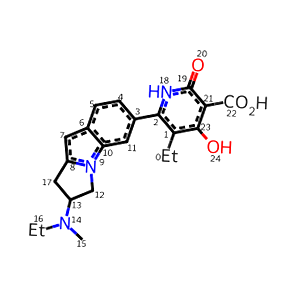 CCc1c(-c2ccc3cc4n(c3c2)CC(N(C)CC)C4)[nH]c(=O)c(C(=O)O)c1O